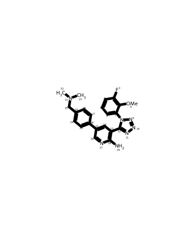 COc1c(F)cccc1-n1nnnc1-c1cc(-c2ccc(CN(C)C)cc2)cnc1N